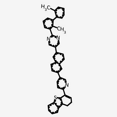 Cc1ccccc1-c1cccc(-c2ncc(-c3ccc4cc(-c5ccc(C6=CCCc7c6sc6ccccc76)nc5)ccc4c3)cn2)c1C